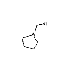 ClCN1CCCC1